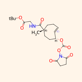 CC(C)(C)OC(=O)CNC(=O)[C@]1(C)CC/C=C/[C@H](OC(=O)ON2C(=O)CCC2=O)CC1